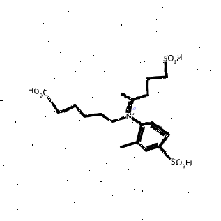 C/C(CCCS(=O)(=O)O)=[N+](\CCCCCC(=O)O)c1ccc(S(=O)(=O)O)cc1C